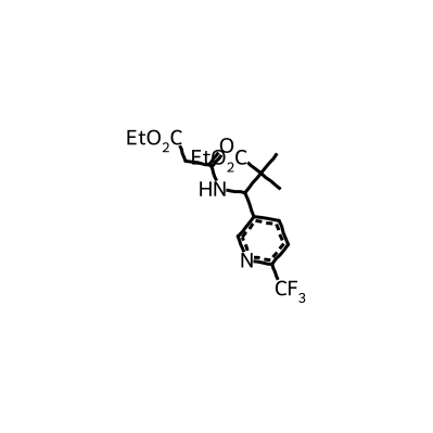 CCOC(=O)CC(=O)NC(c1ccc(C(F)(F)F)nc1)C(C)(C)C(=O)OCC